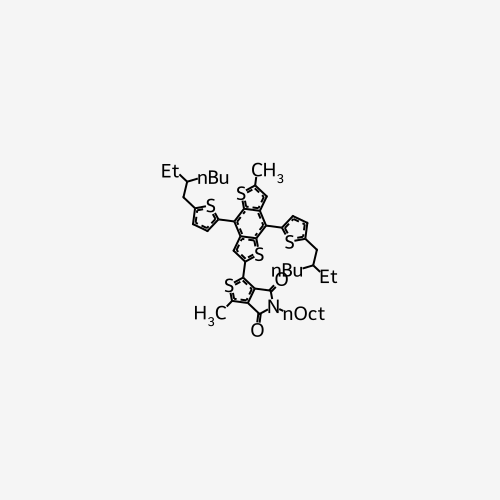 CCCCCCCCN1C(=O)c2c(C)sc(-c3cc4c(-c5ccc(CC(CC)CCCC)s5)c5sc(C)cc5c(-c5ccc(CC(CC)CCCC)s5)c4s3)c2C1=O